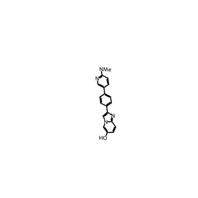 CNc1ccc(-c2ccc(-c3cn4cc(O)ccc4n3)cc2)cn1